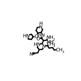 CCCC[C@@H](C)N1CC(CC#N)CNC1C(C(=O)NC1CNCCC1O[C@@H]1CCNC1)C(N)N